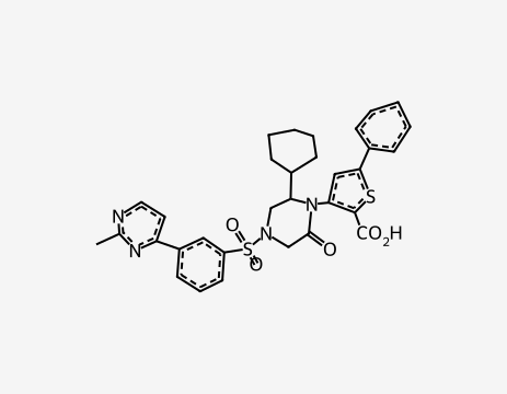 Cc1nccc(-c2cccc(S(=O)(=O)N3CC(=O)N(c4cc(-c5ccccc5)sc4C(=O)O)C(C4CCCCC4)C3)c2)n1